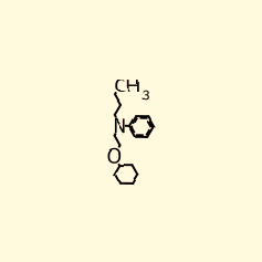 CCCCN(CCOC1CCCCC1)c1ccccc1